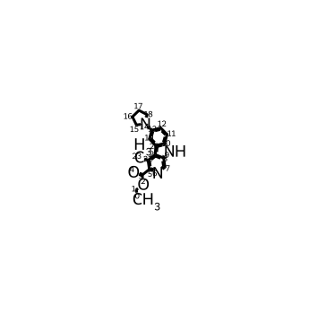 CCOC(=O)c1ncc2[nH]c3ccc(N4CCCC4)cc3c2c1C